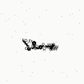 CCOC(=O)CCCCCCN1C(=O)CC[C@@H]1/C=C/C(OC(=O)Cc1ccc(C(=O)NCCCCCC(O)(P(=O)(O)O)P(=O)(O)O)cc1)C(F)(F)c1ccccc1